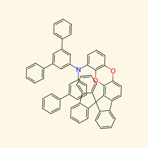 c1ccc(-c2cccc(N(c3cc(-c4ccccc4)cc(-c4ccccc4)c3)c3cccc4c3Oc3c(ccc5c3C3(c6ccccc6-c6ccccc63)c3ccccc3-5)O4)c2)cc1